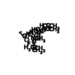 Cc1c(C(=O)N[C@@H]2CCN(C(=O)OC(C)(C)C)C[C@H]2O)c2ncnc(-c3cc(F)ccc3OCC3CC3)c2n1COCC[Si](C)(C)C